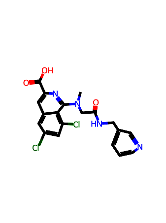 CN(CC(=O)NCc1cccnc1)c1nc(C(=O)O)cc2cc(Cl)cc(Cl)c12